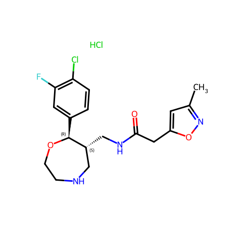 Cc1cc(CC(=O)NC[C@@H]2CNCCO[C@H]2c2ccc(Cl)c(F)c2)on1.Cl